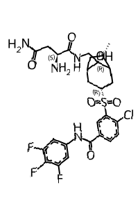 C[C@H]1CC2C[C@@H](S(=O)(=O)c3cc(C(=O)Nc4cc(F)c(F)c(F)c4)ccc3Cl)CC1[C@@]2(O)CNC(=O)[C@@H](N)CC(N)=O